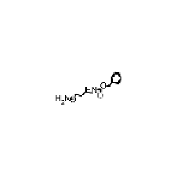 NOCCCCNC(=O)OCc1ccccc1